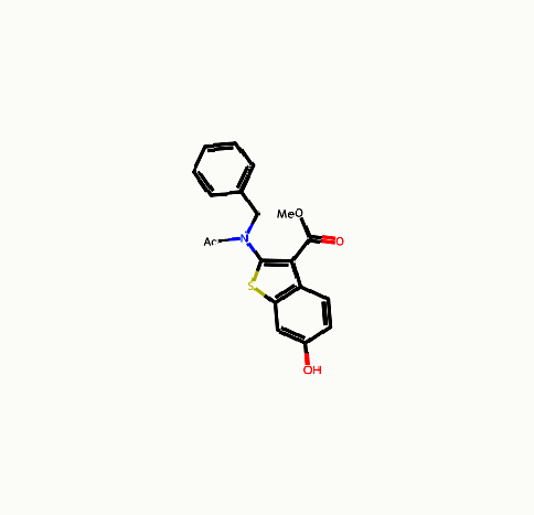 COC(=O)c1c(N(Cc2ccccc2)C(C)=O)sc2cc(O)ccc12